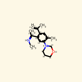 C=C(C)c1cc(C)c(N2CCCOC2)cc1/C(C)=N\C